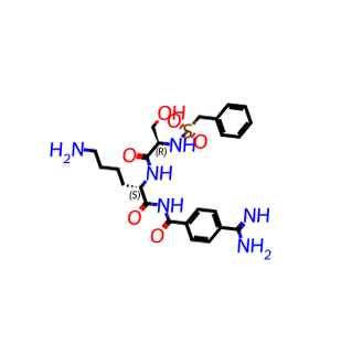 N=C(N)c1ccc(C(=O)NC(=O)[C@H](CCCCN)NC(=O)[C@@H](CO)NS(=O)(=O)Cc2ccccc2)cc1